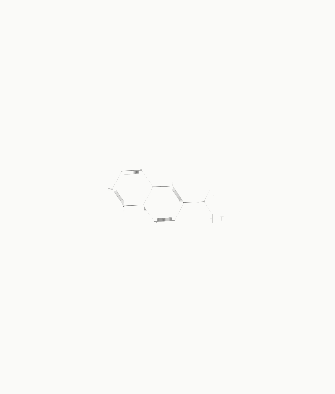 CCC(O)C1=CC2C=CC=CC2C=C1